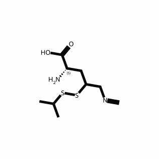 C=NCC(C[C@H](N)C(=O)O)SSC(C)C